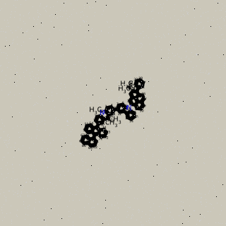 CN1c2ccc(-c3ccc4c(c3)c3ccccc3n4-c3cc4cc5c(c6ccc7cccc3c7c46)-c3ccccc3[Si]5(C)C)cc2C(C)(C)c2cc(-c3c4ccccc4c(-c4cccc5ccccc45)c4ccccc34)ccc21